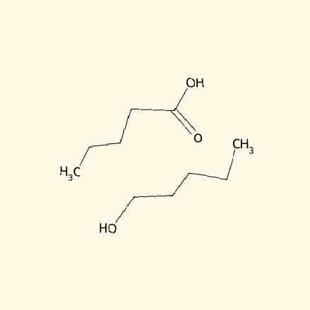 CCCCC(=O)O.CCCCCO